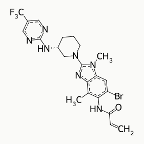 C=CC(=O)Nc1c(Br)cc2c(nc(N3CCC[C@@H](Nc4ncc(C(F)(F)F)cn4)C3)n2C)c1C